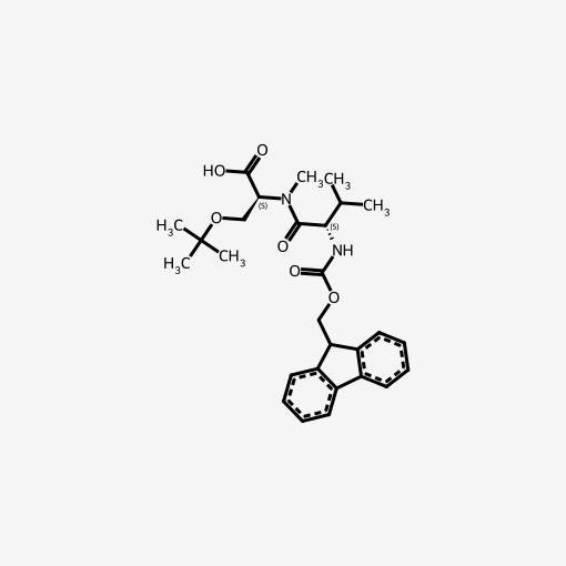 CC(C)[C@H](NC(=O)OCC1c2ccccc2-c2ccccc21)C(=O)N(C)[C@@H](COC(C)(C)C)C(=O)O